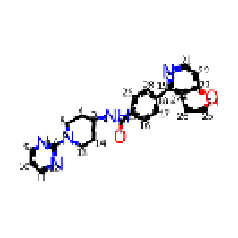 O=C(NC1CCN(c2ncccn2)CC1)c1ccc(-c2nccc3occc23)cc1